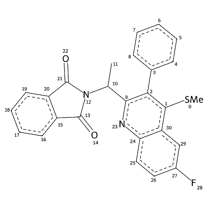 CSc1c(-c2ccccc2)c(C(C)N2C(=O)c3ccccc3C2=O)nc2ccc(F)cc12